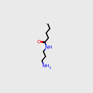 [CH2]CCCC(=O)NCCCN